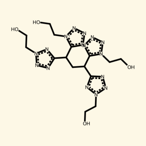 OCCn1nnc(C(CC(c2nnn(CCO)n2)c2nnnn2CCO)c2nnnn2CCO)n1